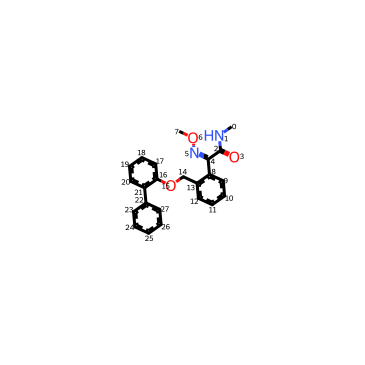 CNC(=O)/C(=N\OC)c1ccccc1COc1ccccc1-c1ccccc1